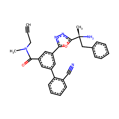 C#CCN(C)C(=O)c1cc(-c2nnc([C@](C)(N)Cc3ccccc3)o2)cc(-c2ccccc2C#N)c1